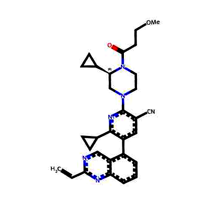 C=Cc1ncc2c(-c3cc(C#N)c(N4CCN(C(=O)CCOC)[C@H](C5CC5)C4)nc3C3CC3)cccc2n1